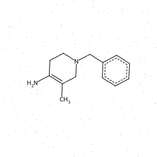 CC1=C(N)CCN(Cc2ccccc2)C1